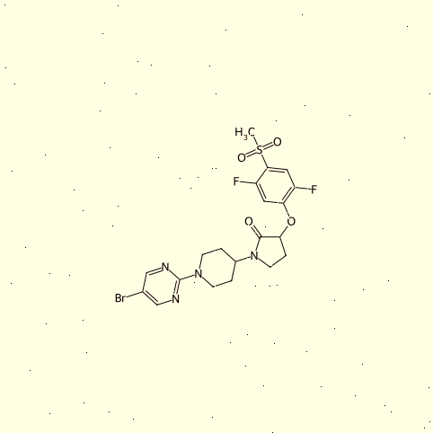 CS(=O)(=O)c1cc(F)c(OC2CCN(C3CCN(c4ncc(Br)cn4)CC3)C2=O)cc1F